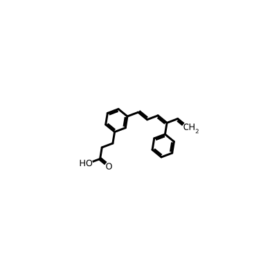 C=CC(=CC=Cc1cccc(CCC(=O)O)c1)c1ccccc1